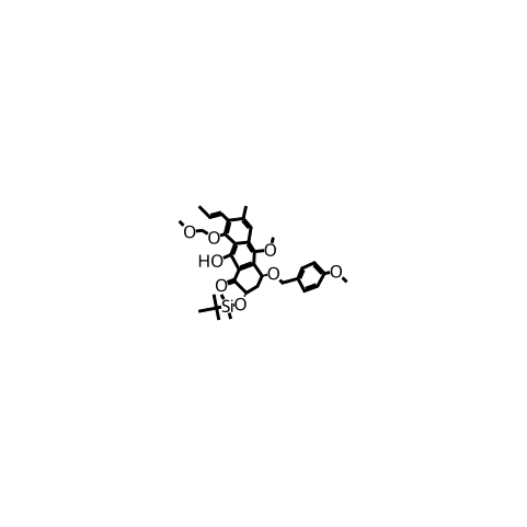 C/C=C/c1c(C)cc2c(OC)c3c(c(O)c2c1OCOC)C(=O)[C@@H](O[Si](C)(C)C(C)(C)C)C[C@@H]3OCc1ccc(OC)cc1